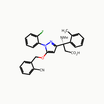 CN[C@](CC(=O)O)(c1cc(OCc2ccccc2C#N)n(-c2ccccc2F)n1)c1ccccc1C